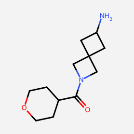 NC1CC2(C1)CN(C(=O)C1CCOCC1)C2